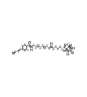 N#CC#Cc1ccc(C(=O)NCCOCCOCCNCCCCC[C@@H]2SC[C@@H]3NC(=O)N[C@@H]32)cc1